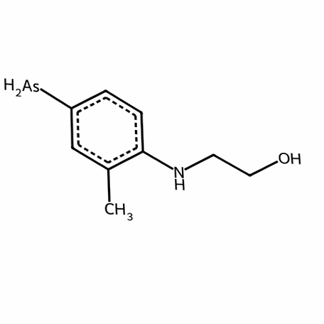 Cc1cc([AsH2])ccc1NCCO